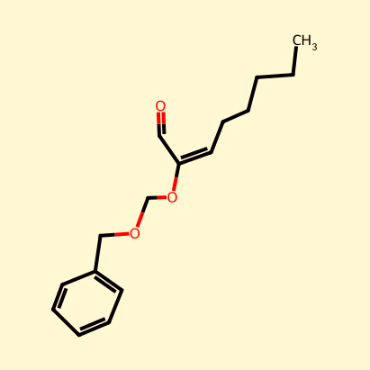 CCCCC/C=C(\C=O)OCOCc1ccccc1